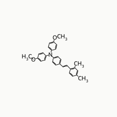 COc1ccc(N(c2ccc(/C=C/c3ccc(C)cc3C)cc2)c2ccc(OC)cc2)cc1